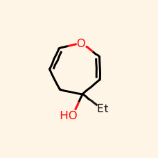 CCC1(O)C=COC=CC1